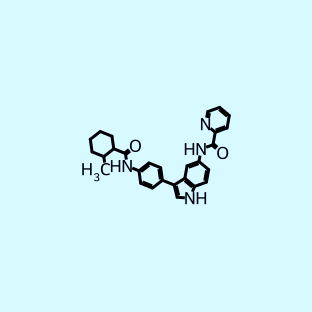 CC1CCCCC1C(=O)Nc1ccc(-c2c[nH]c3ccc(NC(=O)c4ccccn4)cc23)cc1